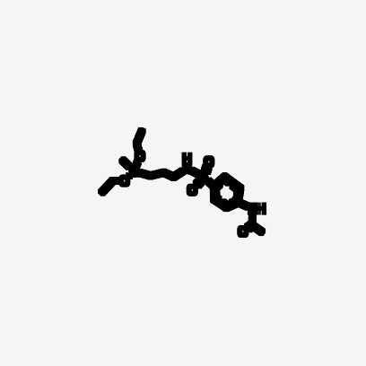 CCO[Si](C)(CCCNS(=O)(=O)c1ccc(NC(C)=O)cc1)OCC